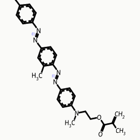 C=C(C)C(=O)OCCN(C)c1ccc(/N=N/c2ccc(/N=N/c3ccc(F)cc3)cc2C)cc1